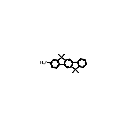 CC1(C)c2ccccc2-c2cc3c(cc21)-c1ccc(P)cc1C3(C)C